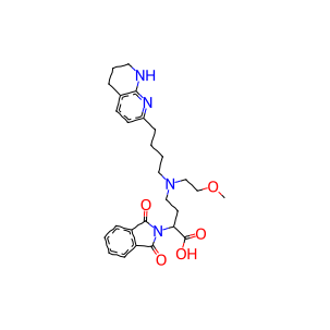 COCCN(CCCCc1ccc2c(n1)NCCC2)CCC(C(=O)O)N1C(=O)c2ccccc2C1=O